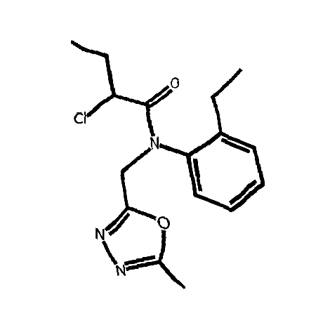 CCc1ccccc1N(Cc1nnc(C)o1)C(=O)C(Cl)CC